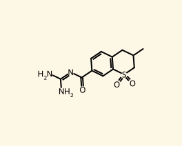 CC1Cc2ccc(C(=O)N=C(N)N)cc2S(=O)(=O)C1